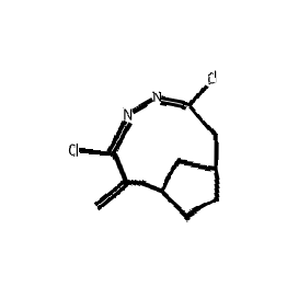 C=C1/C(Cl)=N\N=C(\Cl)CC2CCC1C2